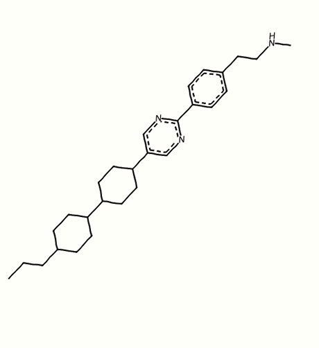 CCCC1CCC(C2CCC(c3cnc(-c4ccc(CCNC)cc4)nc3)CC2)CC1